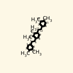 Cc1ccc(CCc2ccc(CCc3ccc(C)c(C)c3)c(C)c2C)cc1C